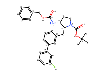 CC(C)(C)OC(=O)N1CC[C@@H](NC(=O)OCc2ccccc2)[C@H]1Cc1cccc(-c2cccc(F)c2)c1